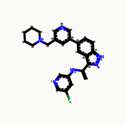 C=C(Nc1cncc(F)c1)c1n[nH]c2ccc(-c3cncc(CN4CCCCC4)c3)cc12